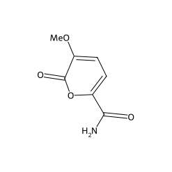 COc1ccc(C(N)=O)oc1=O